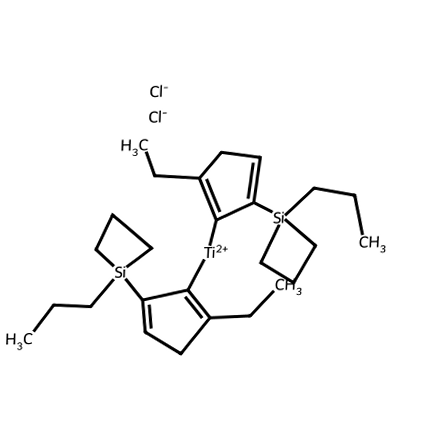 CCC[Si]1(C2=CCC(CC)=[C]2[Ti+2][C]2=C(CC)CC=C2[Si]2(CCC)CCC2)CCC1.[Cl-].[Cl-]